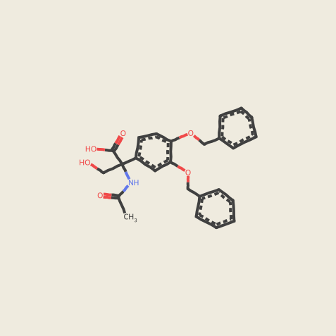 CC(=O)NC(CO)(C(=O)O)c1ccc(OCc2ccccc2)c(OCc2ccccc2)c1